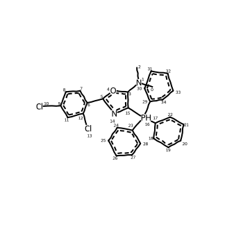 CN(C)c1oc(-c2ccc(Cl)cc2Cl)nc1[PH](c1ccccc1)(c1ccccc1)c1ccccc1